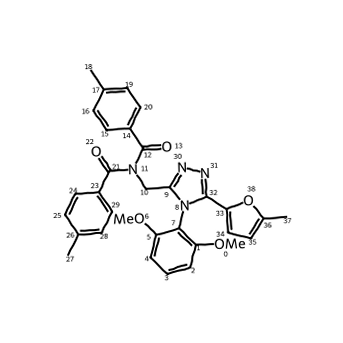 COc1cccc(OC)c1-n1c(CN(C(=O)c2ccc(C)cc2)C(=O)c2ccc(C)cc2)nnc1-c1ccc(C)o1